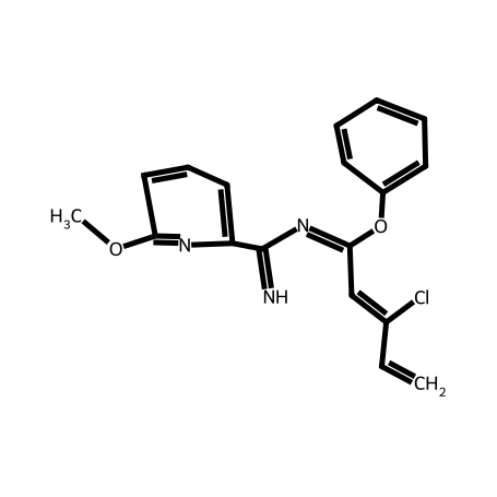 C=C/C(Cl)=C/C(=N\C(=N)c1cccc(OC)n1)Oc1ccccc1